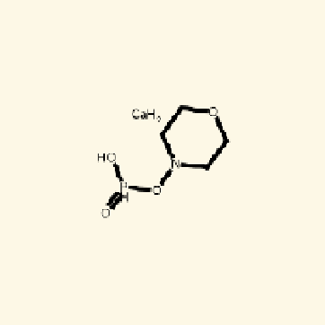 O=[PH](O)ON1CCOCC1.[CaH2]